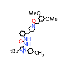 COc1cc(CC(=O)N2CCC(Cc3ccccc3NC(=O)Nc3cc(C(C)(C)C)nn3-c3ccc(C)cc3)CC2)cc(OC)c1